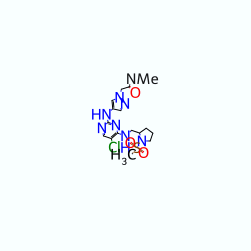 CNC(=O)Cn1cc(Nc2ncc(Cl)c(NCC3CCCN3S(C)(=O)=O)n2)cn1